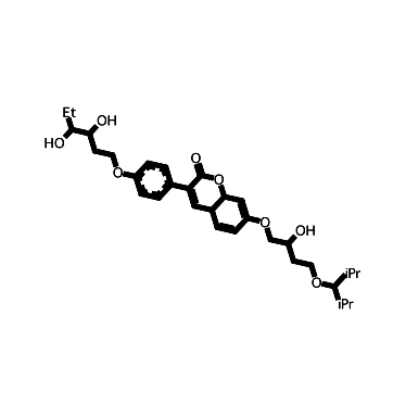 CCC(O)C(O)CCOc1ccc(C2=CC3C=CC(OCC(O)CCOC(C(C)C)C(C)C)=CC3OC2=O)cc1